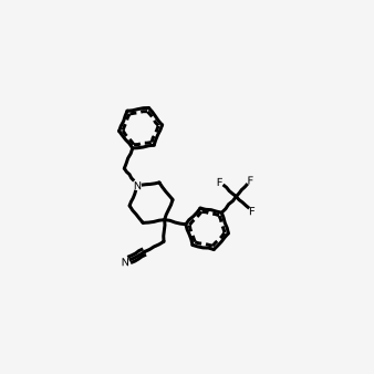 N#CCC1(c2cccc(C(F)(F)F)c2)CCN(Cc2ccccc2)CC1